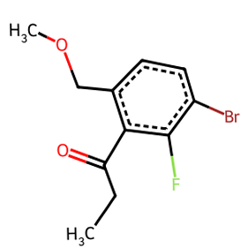 CCC(=O)c1c(COC)ccc(Br)c1F